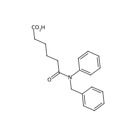 O=C(O)CCCCC(=O)N(Cc1ccccc1)c1ccccc1